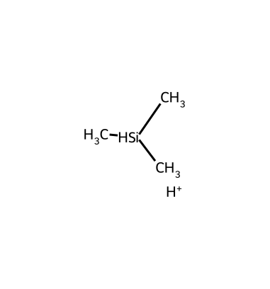 C[SiH](C)C.[H+]